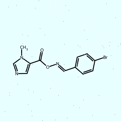 Cn1cncc1C(=O)ON=Cc1ccc(Br)cc1